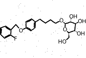 OC[C@H]1O[C@@H](OCCCCc2ccc(OCc3ccccc3F)cc2)[C@H](O)[C@@H](O)[C@@H]1O